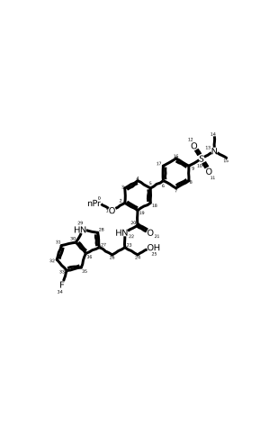 CCCOc1ccc(-c2ccc(S(=O)(=O)N(C)C)cc2)cc1C(=O)NC(CO)Cc1c[nH]c2ccc(F)cc12